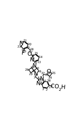 O=C(O)c1ccc2nc(CN3CC4N(c5cccc(OCc6ccncc6F)n5)C5CCC543)n(C[C@@H]3CCO3)c2c1